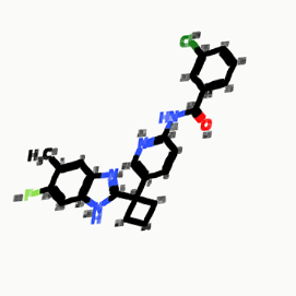 Cc1cc2nc(C3(c4ccc(NC(=O)c5cccc(Cl)c5)nc4)CCC3)[nH]c2cc1F